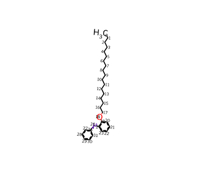 CCCCCCCCCCCCCCCCCCOc1ccccc1[I+]c1ccccc1